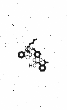 CCCCc1nn(-c2ccccc2Cl)c(=O)n1Cc1ccc(OC(C(=O)O)c2ccccc2C(C)C)cc1